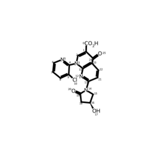 O=C(O)c1cn(-c2ncccc2Cl)c2nc(N3C[C@@H](O)CC3=O)ccc2c1=O